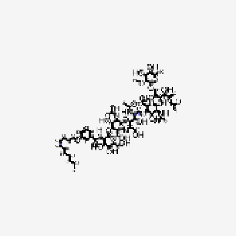 C=C(NC(C)=O)[C@@H](O)C(OC1OC(CO)[C@@H](O/C=C(/NC(C)=O)[C@@H](O)C(OC2OC(CO)[C@@H](OC3OC(CO)[C@@H](O)C(O)C3NC(=O)c3cccc(OCCC/C=C\CCCCCC)c3)C(O)C2NC(C)=O)C(O)CO)C(O)C1NC(C)=O)C(O)CO[C@@H]1OC(C)C(O)C(O)C1OC